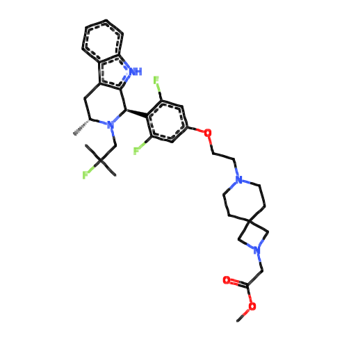 COC(=O)CN1CC2(CCN(CCOc3cc(F)c([C@@H]4c5[nH]c6ccccc6c5C[C@@H](C)N4CC(C)(C)F)c(F)c3)CC2)C1